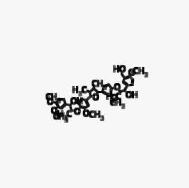 COc1ccc(C(O)C(C)Oc2ccc(C3OC(c4ccc(OC(C)C(O)c5ccc(OC)c(OC)c5)c(OC)c4)C(C)C3C)cc2OC)cc1CO